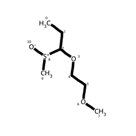 CCC(OCCOC)[S+](C)[O-]